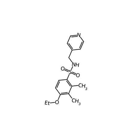 CCOc1ccc(S(=O)(=O)NCc2ccncc2)c(C)c1C